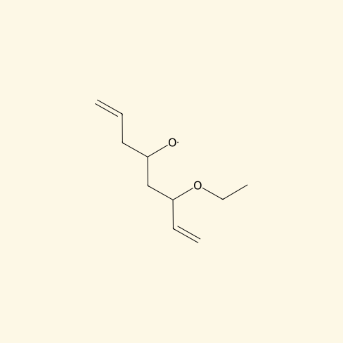 C=CCC([O])CC(C=C)OCC